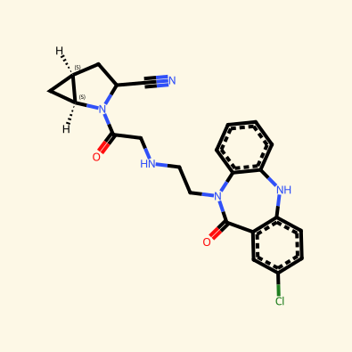 N#CC1C[C@@H]2C[C@@H]2N1C(=O)CNCCN1C(=O)c2cc(Cl)ccc2Nc2ccccc21